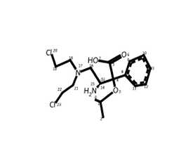 CC(C)OC(C(=O)O)(c1ccccc1)[C@@H](N)CN(CCCl)CCCl